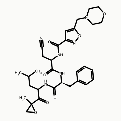 CC(C)CC(NC(=O)[C@H](Cc1ccccc1)NC(=O)C(CC#N)NC(=O)c1cc(CN2CCOCC2)on1)C(=O)C1(C)CO1